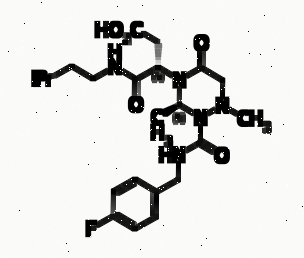 CC(C)CCNC(=O)[C@H](CC(=O)O)N1C(=O)CN(C)N(C(=O)NCc2ccc(F)cc2)[C@H]1C